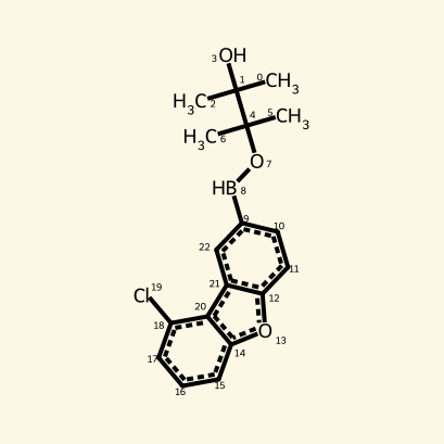 CC(C)(O)C(C)(C)OBc1ccc2oc3cccc(Cl)c3c2c1